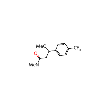 CNC(=O)CC(OC)c1ccc(C(F)(F)F)cc1